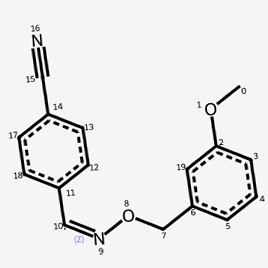 COc1cccc(CO/N=[C]\c2ccc(C#N)cc2)c1